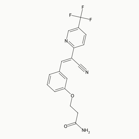 N#CC(=Cc1cccc(OCCC(N)=O)c1)c1ccc(C(F)(F)F)cn1